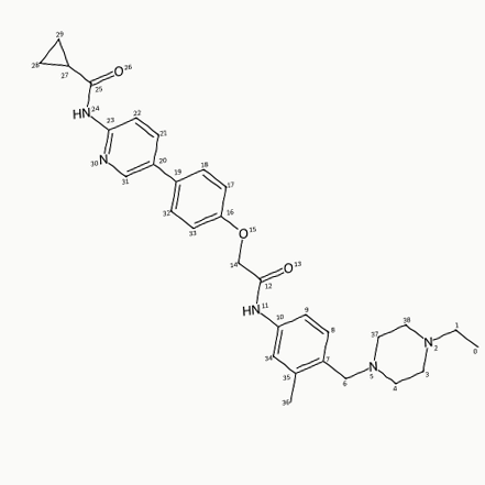 CCN1CCN(Cc2ccc(NC(=O)COc3ccc(-c4ccc(NC(=O)C5CC5)nc4)cc3)cc2C)CC1